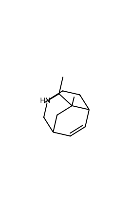 CC(C)C1(C)CC2C=CC1CCNC2